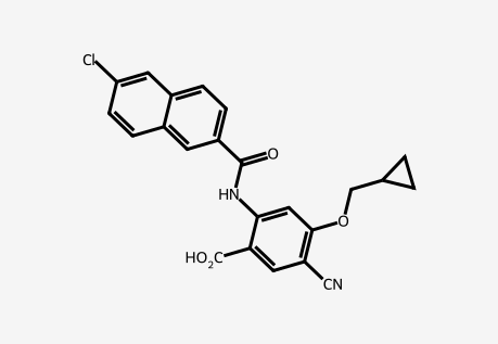 N#Cc1cc(C(=O)O)c(NC(=O)c2ccc3cc(Cl)ccc3c2)cc1OCC1CC1